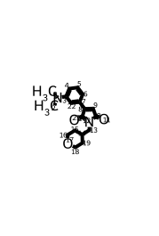 CN(C)c1cccc(C2=CC(=O)N(CC3CCOCC3)C2=O)c1